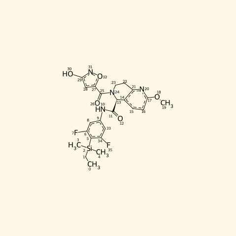 CC[Si](C)(C)c1c(F)cc(NC(=O)[C@@H]2c3ccc(OC)nc3CCN2C(=O)c2cc(O)no2)cc1F